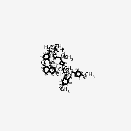 COc1ccc(CN(Cc2ccc(OC)cc2)S(=O)(=O)CC(C)(C)[C@@H]2C=C([C@H](OC)[C@@H]3CC[C@H]3CN3C[C@@]4(CCCc5cc(Cl)ccc54)COc4ccc(C(=O)OC(C)(C)C)cc43)C2)cc1